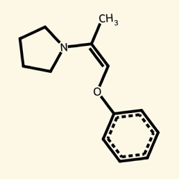 CC(=COc1ccccc1)N1CCCC1